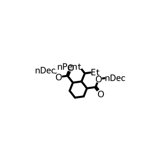 CCCCCCCCCCOC(=O)C1CCCC(C(=O)OCCCCCCCCCC)C1C(CC)CCCCC